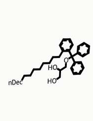 CCCCCCCCCCCCCCCCCCc1ccccc1C(OCC(O)CO)(c1ccccc1)c1ccccc1